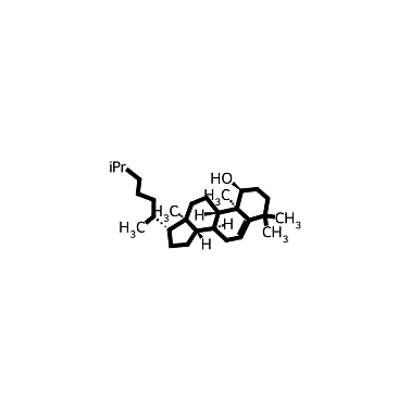 CC(C)CCCC(C)[C@H]1CC[C@H]2[C@@H]3CC=C4C(C)(C)CC[C@H](O)[C@]4(C)[C@H]3CC[C@]12C